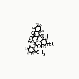 CCc1ccc(C(/C(C(C)=O)=C(\O)c2ccccc2C)c2c(O)c3ccccc3oc2=O)cc1